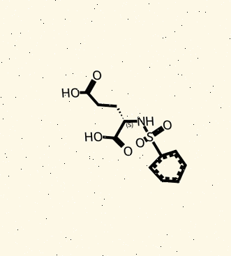 O=C(O)CC[C@H](NS(=O)(=O)c1ccccc1)C(=O)O